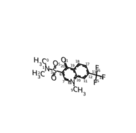 CN(C)S(=O)(=O)c1cn(C)c2cc(C(F)(F)F)ccc2c1=O